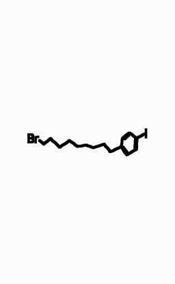 BrCCCCCCCCCc1ccc(I)cc1